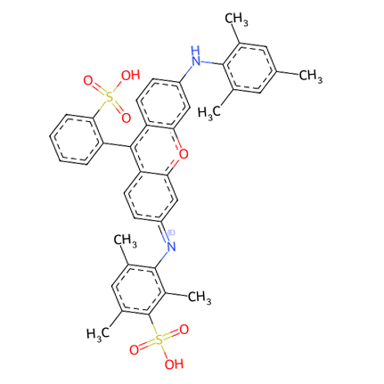 Cc1cc(C)c(Nc2ccc3c(-c4ccccc4S(=O)(=O)O)c4cc/c(=N\c5c(C)cc(C)c(S(=O)(=O)O)c5C)cc-4oc3c2)c(C)c1